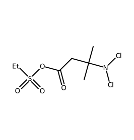 CCS(=O)(=O)OC(=O)CC(C)(C)N(Cl)Cl